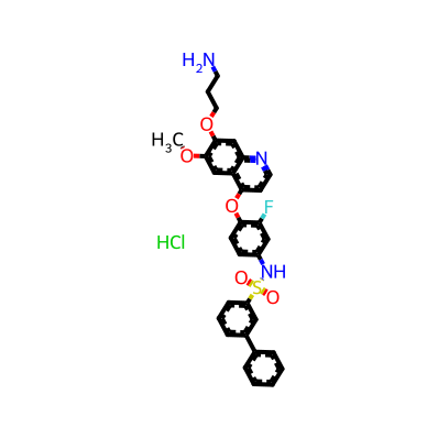 COc1cc2c(Oc3ccc(NS(=O)(=O)c4cccc(-c5ccccc5)c4)cc3F)ccnc2cc1OCCCN.Cl